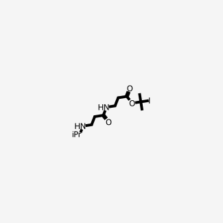 CC(C)NCCC(=O)NCCC(=O)OC(C)(C)I